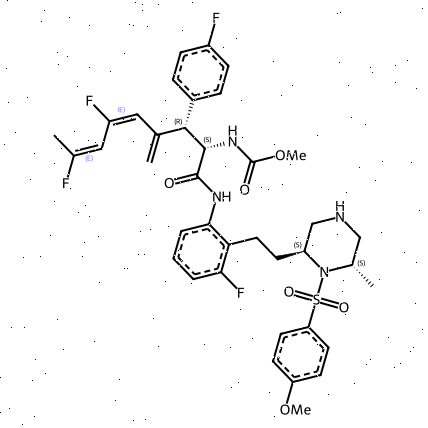 C=C(/C=C(F)\C=C(/C)F)[C@H](c1ccc(F)cc1)[C@H](NC(=O)OC)C(=O)Nc1cccc(F)c1CC[C@H]1CNC[C@H](C)N1S(=O)(=O)c1ccc(OC)cc1